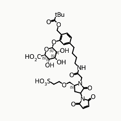 CC(C)(C)C(=O)OCc1ccc(CCCCNC(=O)CN2C(=O)C(N3C(=O)C=CC3=O)C[C@H]2COCCS(=O)(=O)O)cc1O[C@@H]1O[C@H](C(=O)O)[C@@H](O)[C@H](O)[C@H]1O